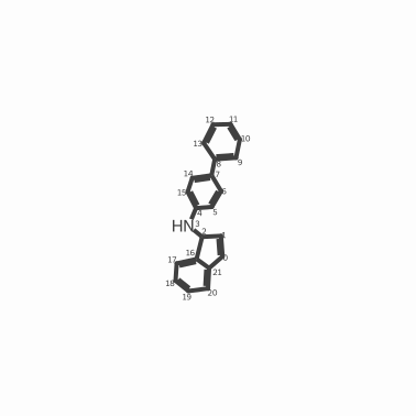 C1=CC(Nc2ccc(-c3ccccc3)cc2)c2ccccc21